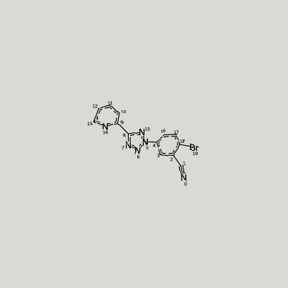 N#Cc1cc(-n2nnc(-c3ccccn3)n2)ccc1Br